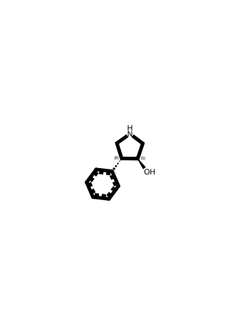 O[C@@H]1CNC[C@H]1c1ccccc1